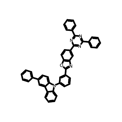 c1ccc(-c2ccc3c(c2)c2ccccc2n3-c2cccc(-c3nc4cc(-c5nc(-c6ccccc6)nc(-c6ccccc6)n5)ccc4o3)c2)cc1